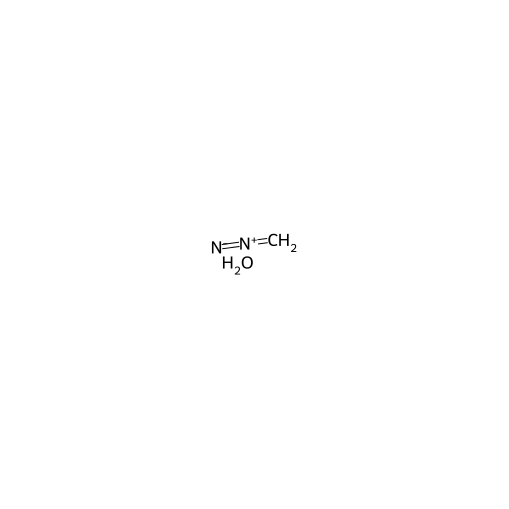 C=[N+]=[N-].O